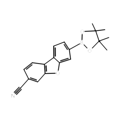 CC1(C)OB(c2ccc3c(c2)oc2cc(C#N)ccc23)OC1(C)C